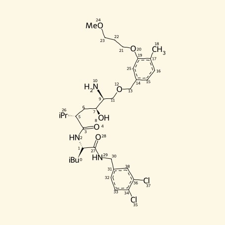 CC[C@H](C)[C@H](NC(=O)[C@@H](C[C@H](O)[C@@H](N)COCc1ccc(C)c(OCCCOC)c1)C(C)C)C(=O)NCc1ccc(Cl)c(Cl)c1